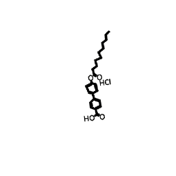 CCCCCCCCCCC(=O)Oc1ccc(-c2ccc(C(=O)O)cc2)cc1.Cl